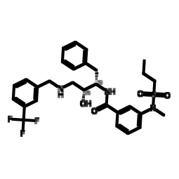 CCCS(=O)(=O)N(C)c1cccc(C(=O)N[C@@H](Cc2ccccc2)[C@H](O)CNCc2cccc(C(F)(F)F)c2)c1